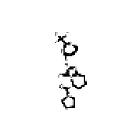 O=C([C@H]1CCCc2nn(Cc3ccnc(C(F)(F)F)n3)c(=O)n21)N1CCCC1